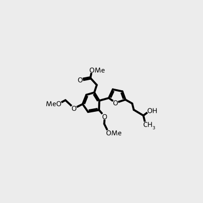 COCOc1cc(CC(=O)OC)c(-c2ccc(CCC(C)O)o2)c(OCOC)c1